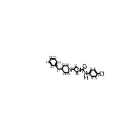 O=C(Nc1ccc(Cl)cc1)N1CC(N2CCC(Cc3ccccc3)CC2)C1